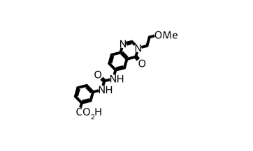 COCCn1cnc2ccc(NC(=O)Nc3cccc(C(=O)O)c3)cc2c1=O